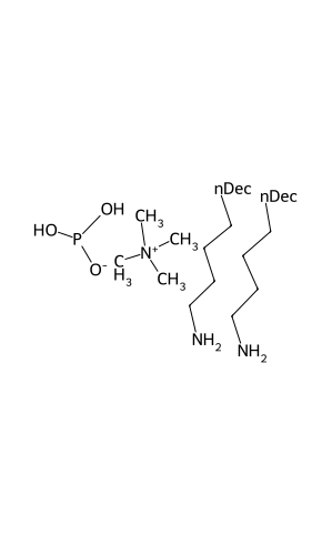 CCCCCCCCCCCCCCN.CCCCCCCCCCCCCCN.C[N+](C)(C)C.[O-]P(O)O